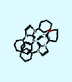 C=[C]=[Ru]([c]1ccccc1)(=[c]1n(C2CCCCC2)ccn1C1CCCCC1)=[c]1n(C2CCCCC2)ccn1C1CCCCC1